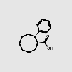 O=C(O)[C@H]1CCCCCC[C@H]1c1ccccc1